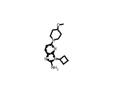 COC1CCN(c2ccc3nc(N)n(C4CCC4)c3n2)CC1